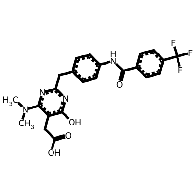 CN(C)c1nc(Cc2ccc(NC(=O)c3ccc(C(F)(F)F)cc3)cc2)nc(O)c1CC(=O)O